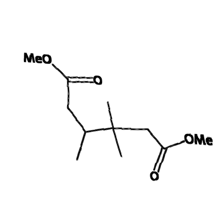 COC(=O)CC(C)C(C)(C)CC(=O)OC